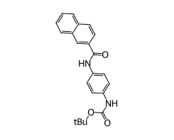 CC(C)(C)OC(=O)Nc1ccc(NC(=O)c2ccc3ccccc3c2)cc1